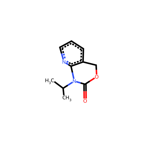 CC(C)N1C(=O)OCc2cccnc21